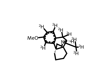 [2H]c1c([2H])c2c(c([2H])c1OC)[C@]13CCCCC1[C@@H](N(C([2H])([2H])[2H])CC3)C2([2H])[2H]